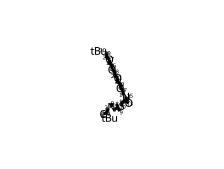 CN(CCOC(C)(C)C)CC(C)(C)SCC(=O)N(C)CCOCCOCCOCCOCCC(C)(C)C